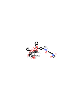 CC(=O)O[C@@H]1C(=O)[C@]2(C)C([C@@H](OC(=O)c3ccccc3)[C@@]3(O)C[C@@H](OC(=O)[C@H](Cc4ccccc4)OC(=O)c4ccc(/C(C)=N/NC(=O)CCCCCN5C(=O)C=CC5=O)cc4)C(C)=C1C3(C)C)[C@@]1(OC(C)=O)CO[C@H]1C[C@H]2O